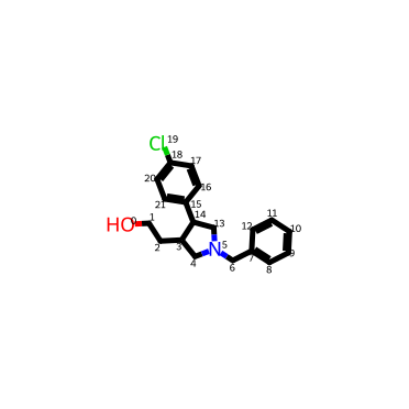 OCCC1CN(Cc2ccccc2)CC1c1ccc(Cl)cc1